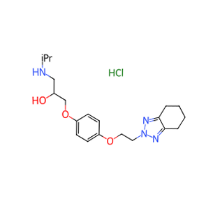 CC(C)NCC(O)COc1ccc(OCCn2nc3c(n2)CCCC3)cc1.Cl